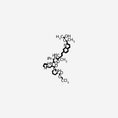 CC(O)O[C@H](C)c1ccc2ccc(/C=C/C(C)(C)C(=O)N[C@H](C(=O)NC(Cn3cccn3)C(=O)N3CCC[C@@H](C(=O)OCC(Cl)(Cl)Cl)N3)C(C)C)cc2n1